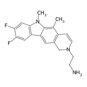 Cc1c2c(cc3c4cc(F)c(F)cc4n(C)c13)CN(CCN)C=C2